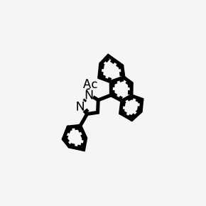 CC(=O)N1N=C(c2ccccc2)CC1c1c2ccccc2cc2ccccc12